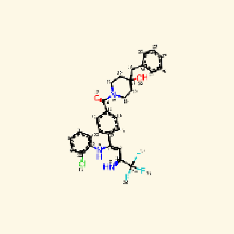 N=C(/C=C(\Nc1ccccc1Cl)c1ccc(C(=O)N2CCC(O)(Cc3ccccc3)CC2)cc1)C(F)(F)F